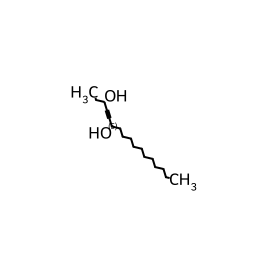 CCCCCCCCCCC[C@H](O)C#CC(O)CC